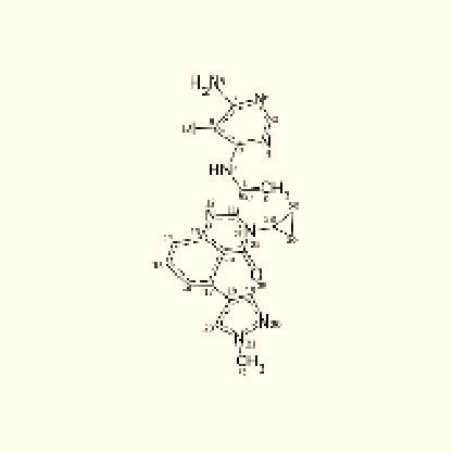 C[C@H](Nc1ncnc(N)c1I)c1nc2cccc(-c3cnn(C)c3)c2c(=O)n1C1CC1